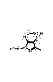 CCCCCn1nc(C)c(N)c1N.O=S(=O)(O)O